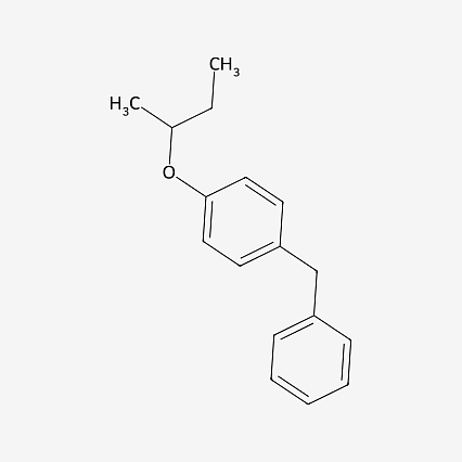 CCC(C)Oc1ccc(Cc2ccccc2)cc1